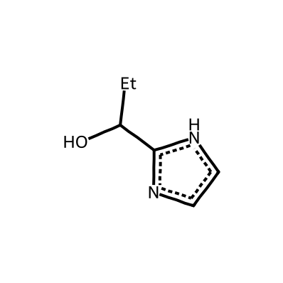 CCC(O)c1ncc[nH]1